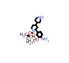 COc1cc(C2CC(C3CCNCC3)CCN2C(=O)OC(C)(C)C)ccc1N